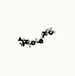 Cn1ncc(-c2nc(NC3CCC(NCc4cccc(OCc5scc6c5CN(C5CCC(=O)NC5=O)C6=O)c4)CC3)ncc2Cl)c1CC1CC1